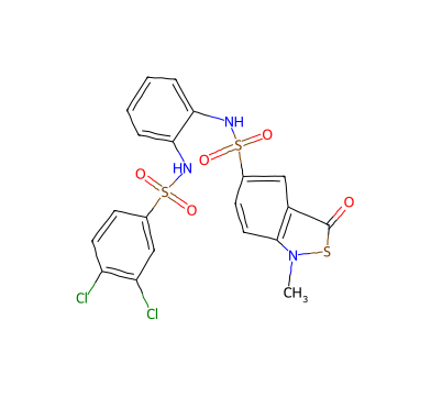 Cn1sc(=O)c2cc(S(=O)(=O)Nc3ccccc3NS(=O)(=O)c3ccc(Cl)c(Cl)c3)ccc21